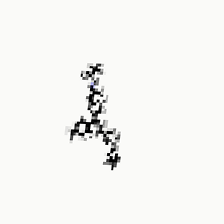 CC(C)(C)C(=O)/N=C/c1cnn2cc([C@@H](NC(=O)c3cnn(CCC(F)(F)F)n3)C3CCC(F)(F)CC3)nc2c1